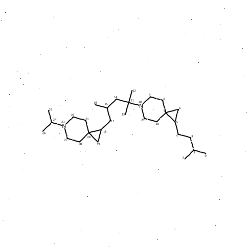 CC(C)CCC1CC12CCN(C(C)(C)CC(C)CC1CC13CCN(C(C)C)CC3)CC2